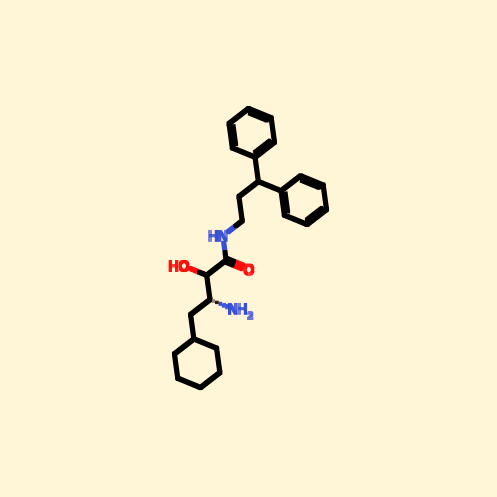 N[C@H](CC1CCCCC1)C(O)C(=O)NCCC(c1ccccc1)c1ccccc1